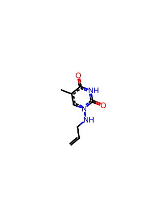 C=CCNn1cc(C)c(=O)[nH]c1=O